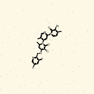 Cc1cnc(-n2ccc(C)c(C(C)C)c2=O)cc1-n1c(C)cc(OCc2ncc(F)cc2F)c(Cl)c1=O